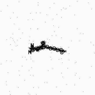 CCCC(=O)OCCOCCOCCOCCOCCOC(CN(CC)c1ccc(/N=N/c2sc(C#N)c(C)c2C#N)c(C)c1)c1ccccc1